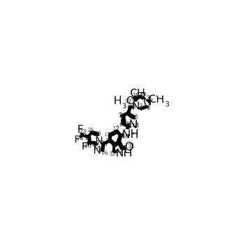 CN1CCN(Cc2ccc(Nc3ccc(-c4cnc5c(F)c(C(F)F)ccn45)c4c3C(=O)NC4)nc2)C(C)(C)C1